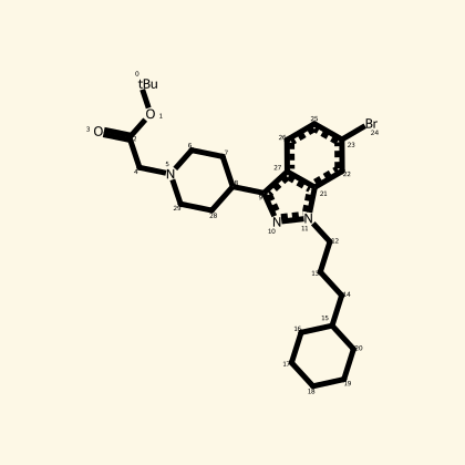 CC(C)(C)OC(=O)CN1CCC(c2nn(CCCC3CCCCC3)c3cc(Br)ccc23)CC1